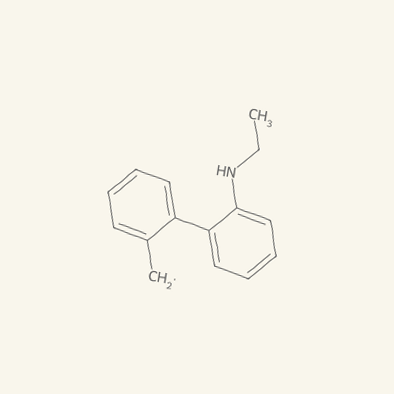 [CH2]c1ccccc1-c1ccccc1NCC